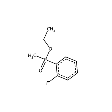 CCOP(C)(=O)c1ccccc1F